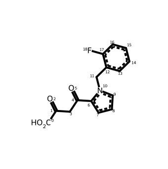 O=C(O)C(=O)CC(=O)c1cccn1Cc1ccccc1F